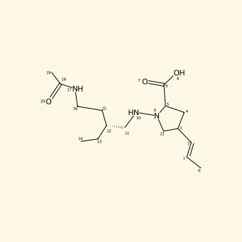 CC=CC1CC(C(=O)O)N(NC[C@H](CC)CCNC(C)=O)C1